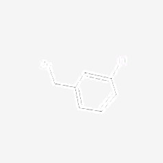 Clc1cccc([CH2][Zn])c1